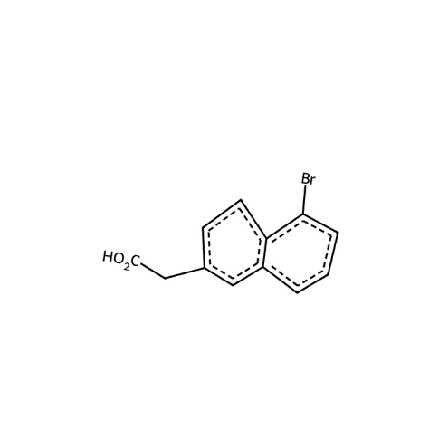 O=C(O)Cc1ccc2c(Br)cccc2c1